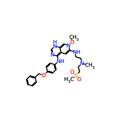 CON1C=C2NC=NC(Nc3ccc(OCc4ccccc4)cc3)=C2C=C1NCCN(C)CCS(C)(=O)=O